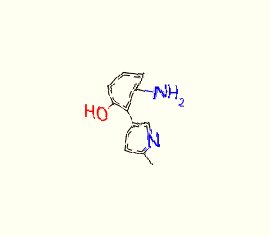 Cc1ccc(-c2c(N)cccc2O)cn1